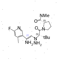 CNC(=O)[C@@H]1CCCN1C(=O)[C@@H](N(N)/C=C(\N)c1cnc(F)cc1C)C(C)(C)C